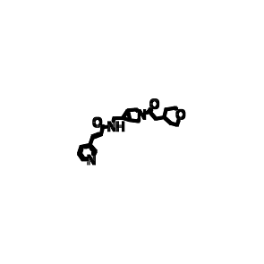 O=C(/C=C/c1cccnc1)NCC1C2CN(C(=O)CC3CCOCC3)CC12